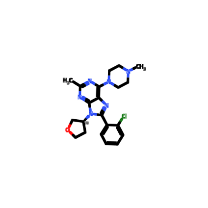 Cc1nc(N2CCN(C)CC2)c2nc(-c3ccccc3Cl)n([C@H]3CCOC3)c2n1